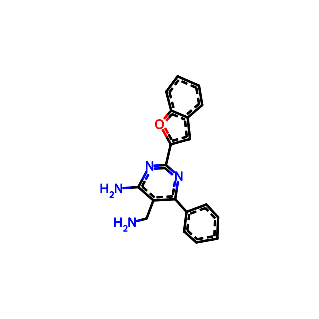 NCc1c(N)nc(-c2cc3ccccc3o2)nc1-c1ccccc1